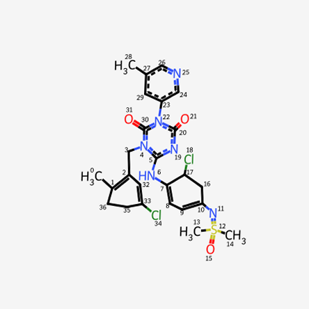 CC1=C(Cn2c(NC3=CC=C(N=S(C)(C)=O)CC3Cl)nc(=O)n(-c3cncc(C)c3)c2=O)C=C(Cl)CC1